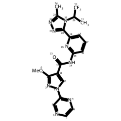 COc1nn(-c2cnccn2)cc1C(=O)Nc1cccc(-c2nnc(C)n2C(C)C(F)(F)F)n1